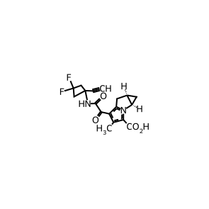 C#CC1(NC(=O)C(=O)c2c(C)c(C(=O)O)n3c2C[C@H]2C[C@H]23)CC(F)(F)C1